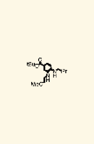 COCCNc1cc(C(=O)OC(C)(C)C)ccc1NCC(C)C